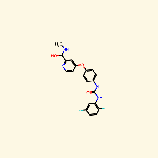 CNC(O)c1cc(Oc2ccc(NC(=O)Nc3cc(F)ccc3F)cc2)ccn1